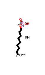 CCCCCCCCCCCCCCCCO[PH](=O)O.[KH]